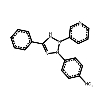 O=[N+]([O-])c1ccc(N2N=C(c3ccccc3)NN2c2cccnc2)cc1